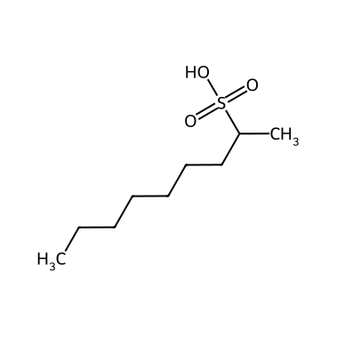 CCCCCCCC(C)S(=O)(=O)O